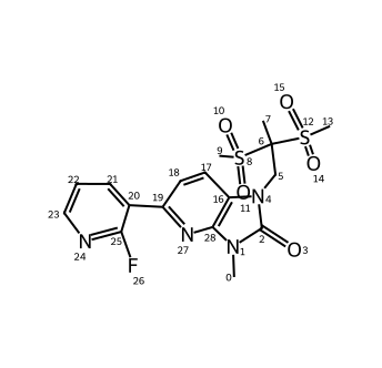 Cn1c(=O)n(CC(C)(S(C)(=O)=O)S(C)(=O)=O)c2ccc(-c3cccnc3F)nc21